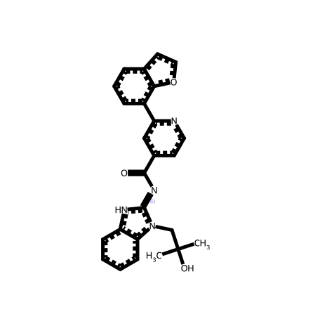 CC(C)(O)Cn1/c(=N/C(=O)c2ccnc(-c3cccc4ccoc34)c2)[nH]c2ccccc21